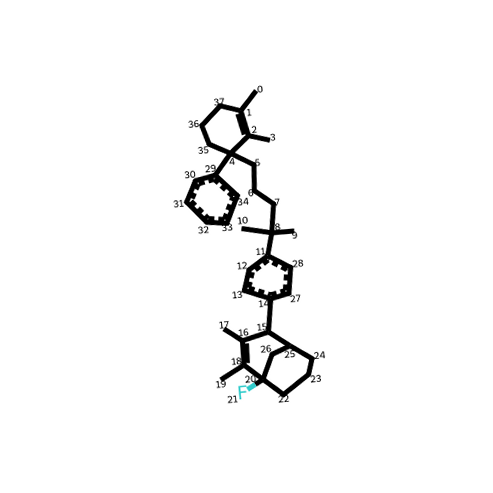 CC1=C(C)C(CCCC(C)(C)c2ccc(C3C(C)=C(C)C4(F)CCCC3C4)cc2)(c2ccccc2)CCC1